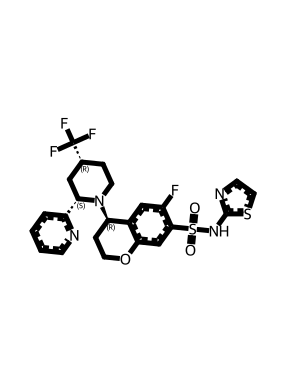 O=S(=O)(Nc1nccs1)c1cc2c(cc1F)[C@H](N1CC[C@@H](C(F)(F)F)C[C@H]1c1ccccn1)CCO2